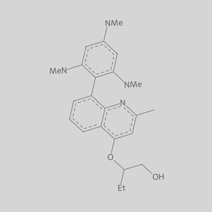 CCC(CO)Oc1cc(C)nc2c(-c3c(NC)cc(NC)cc3NC)cccc12